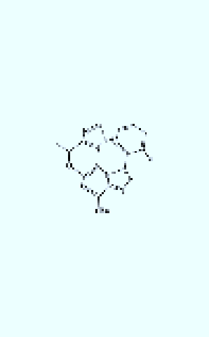 CCCCc1cc(OC(C)c2nc[nH]n2)nn2c(-c3ccccc3F)nnc12